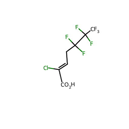 O=C(O)C(Cl)=CCC(F)(F)C(F)(F)C(F)(F)F